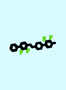 CC1CC=C(C2CCC(CCc3ccc(-c4ccccc4)c(F)c3F)CC2)C(F)=C1F